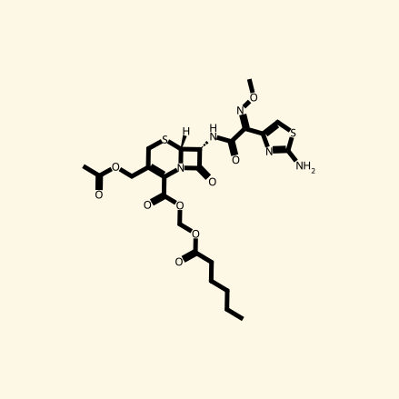 CCCCCC(=O)OCOC(=O)C1=C(COC(C)=O)CS[C@@H]2[C@H](NC(=O)C(=NOC)c3csc(N)n3)C(=O)N12